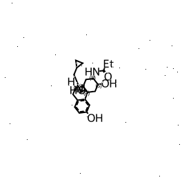 CCC(=O)N[C@H]1C[C@@]2(O)[C@H]3Cc4ccc(O)cc4[C@@]2(CCN3CC2CC2)C[C@@H]1O